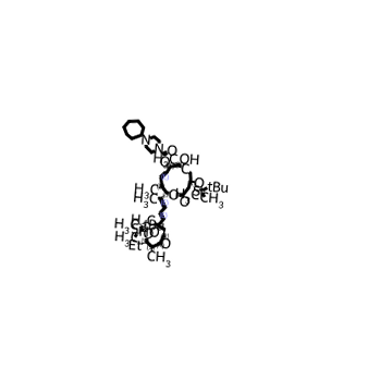 CC[C@H](O[Si](C)(C)C(C)(C)C)[C@@H](C)[C@H]1O[C@@H]1CC(C)(O)/C=C/C=C(\C)[C@H]1OC(=O)C[C@H](O[Si](C)(C)C(C)(C)C)CC[C@@](C)(O)[C@@H](OC(=O)N2CCN(C3CCCCCC3)CC2)/C=C/[C@@H]1C